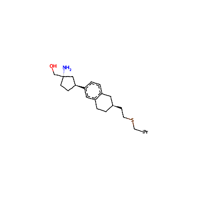 CC(C)CSCC[C@H]1CCc2cc([C@H]3CC[C@@](N)(CO)C3)ccc2C1